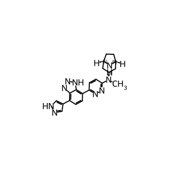 CN(c1ccc(-c2ccc(-c3cn[nH]c3)c3nn[nH]c23)nn1)[C@@H]1C[C@H]2CC[C@@H](C1)N2